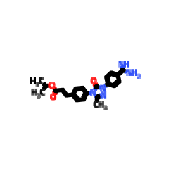 Cc1nn(-c2ccc(C(=N)N)cc2)c(=O)n1-c1ccc(CCC(=O)OC(C)C)cc1